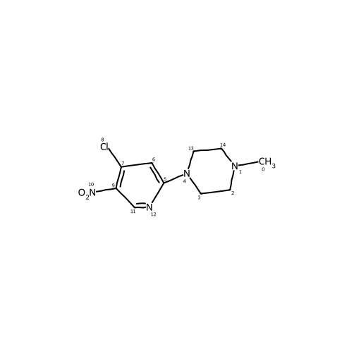 CN1CCN(c2cc(Cl)c([N+](=O)[O-])cn2)CC1